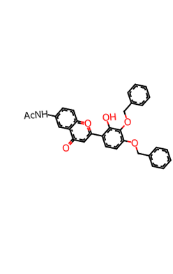 CC(=O)Nc1ccc2oc(-c3ccc(OCc4ccccc4)c(OCc4ccccc4)c3O)cc(=O)c2c1